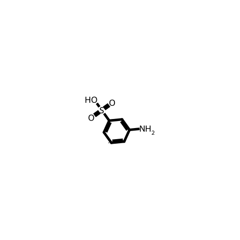 Nc1c[c]cc(S(=O)(=O)O)c1